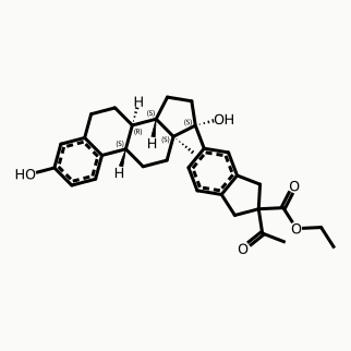 CCOC(=O)C1(C(C)=O)Cc2ccc([C@]3(O)CC[C@H]4[C@@H]5CCc6cc(O)ccc6[C@H]5CC[C@@]43C)cc2C1